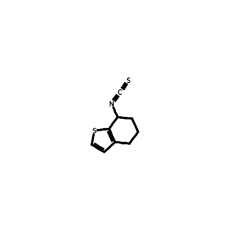 S=C=NC1CCCc2ccsc21